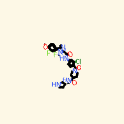 COc1ccc(-c2cnc(C(=O)Nc3ccc(C(=O)N4CCC(C(=O)NC[C@@H]5CCNC5)CC4)c(Cl)c3)n2C)c(F)c1F